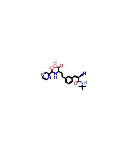 CC(C)(C)NC(=O)C(C#N)=Cc1cccc(CCC(NC(=O)c2cnccn2)C(=O)O)c1